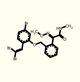 CNC(=O)/C(=N/OC)c1ccccc1COc1cc(Br)ccc1C=C(Br)Br